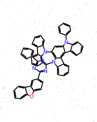 c1ccc(-c2nc(-c3ccc4oc5ccccc5c4c3)nc(-n3c4ccccc4c4c5c6ccccc6n(-c6ccccc6)c5cc(-n5c6ccccc6c6ccccc65)c43)n2)cc1